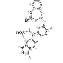 CCOC(=O)C[C@@H](c1ccc(C)c(CN2Cc3ccccc3O[C@H](CC)C2)c1)c1ccc2c(nnn2C)c1C